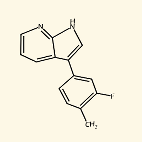 Cc1ccc(-c2c[nH]c3ncccc23)cc1F